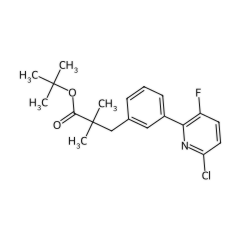 CC(C)(C)OC(=O)C(C)(C)Cc1cccc(-c2nc(Cl)ccc2F)c1